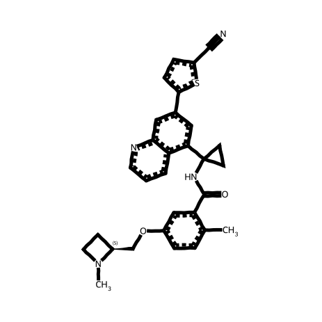 Cc1ccc(OC[C@@H]2CCN2C)cc1C(=O)NC1(c2cc(-c3ccc(C#N)s3)cc3ncccc23)CC1